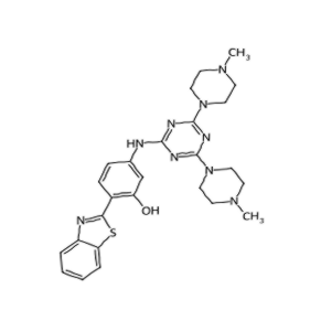 CN1CCN(c2nc(Nc3ccc(-c4nc5ccccc5s4)c(O)c3)nc(N3CCN(C)CC3)n2)CC1